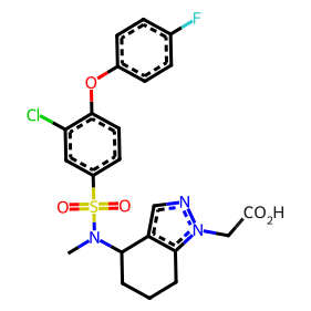 CN(C1CCCc2c1cnn2CC(=O)O)S(=O)(=O)c1ccc(Oc2ccc(F)cc2)c(Cl)c1